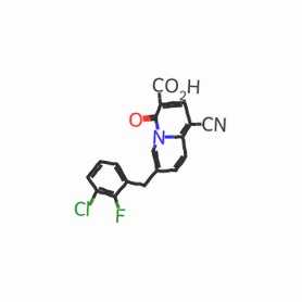 N#Cc1cc(C(=O)O)c(=O)n2cc(Cc3cccc(Cl)c3F)ccc12